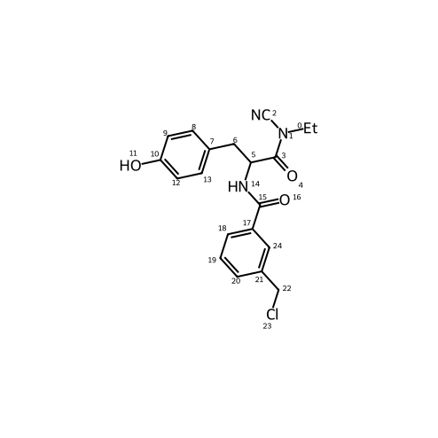 CCN(C#N)C(=O)C(Cc1ccc(O)cc1)NC(=O)c1cccc(CCl)c1